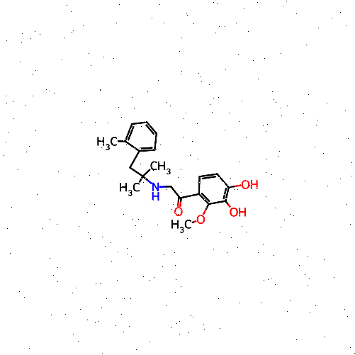 COc1c(C(=O)CNC(C)(C)Cc2ccccc2C)ccc(O)c1O